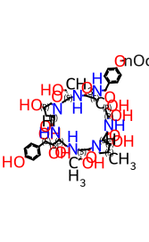 CCCCCCCCOc1ccc(C(=O)N[C@H]2C[C@@H](O)[C@@H](O)NC(=O)[C@@H]3[C@@H](O)[C@@H](C)CN3C(=O)[C@H](C(C)O)NC(=O)[C@H]([C@H](O)[C@@H](O)c3ccc(O)cc3)NC(=O)[C@@H]3C[C@@H](O)CN3C(=O)[C@H](C(C)O)NC2=O)cc1